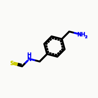 NCc1ccc(CNC=S)cc1